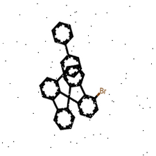 Brc1cccc2c1-c1ccccc1C21c2ccccc2-c2cccc(-c3cccc(-c4ccccc4)c3)c21